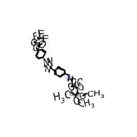 CCO[C@@H]1[C@@H](OC)[C@H](C)O[C@@H](O/N=C/c2ccc(-c3ncn(-c4ccc(OS(=O)(=O)C(F)(F)F)cc4)n3)cc2)[C@@H]1OC